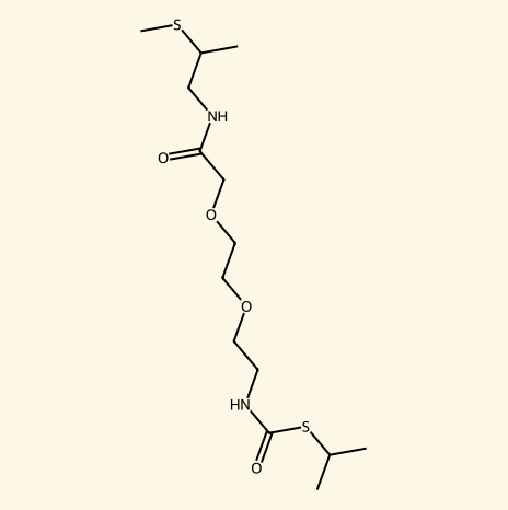 CSC(C)CNC(=O)COCCOCCNC(=O)SC(C)C